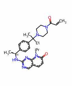 C=CC(=O)N1CCN(C(C)(CC)c2ccc([C@H](C)Nc3ncc4ccc(=O)n(C(C)C)c4n3)cc2)CC1